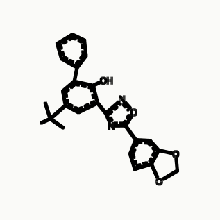 CC(C)(C)c1cc(-c2ccccc2)c(O)c(-c2noc(-c3ccc4c(c3)OCO4)n2)c1